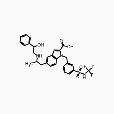 CC(Cc1ccc2c(c1)cc(C(=O)O)n2Cc1cccc(S(=O)(=O)NC(F)(F)F)c1)NCC(O)c1ccccc1